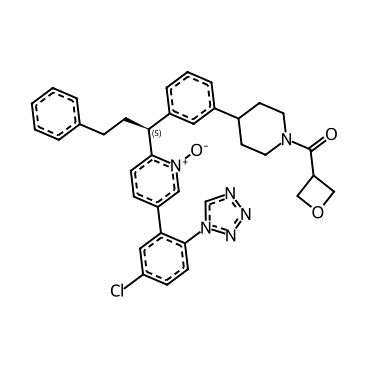 O=C(C1COC1)N1CCC(c2cccc([C@H](CCc3ccccc3)c3ccc(-c4cc(Cl)ccc4-n4cnnn4)c[n+]3[O-])c2)CC1